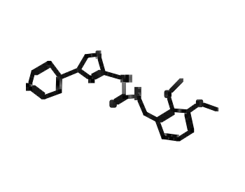 COc1cccc(CNC(=O)NC2=NC(c3ccncc3)CS2)c1OC